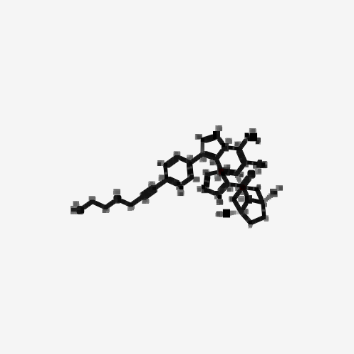 CC(=O)c1c([C@@H]2C[C@H]3CC[C@@H](C2)N3C(=O)c2nnc[nH]2)nc2c(-c3ccc(C#CCOCCO)nc3)cnn2c1N